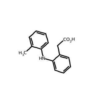 Cc1ccccc1Nc1ccccc1CC(=O)O